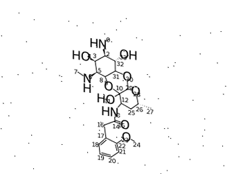 CN[C@@H]1[C@H](O)[C@H](NC)C2OC3(O)C(NC(=O)Cc4ccccc4OC)C[C@@H](C)OC3OC2[C@H]1O